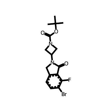 CC(C)(C)OC(=O)N1CC(N2Cc3ccc(Br)c(F)c3C2=O)C1